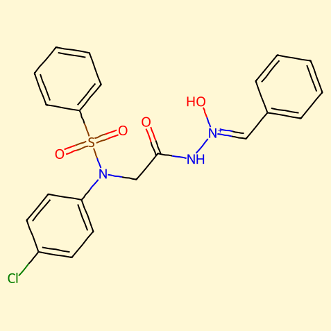 O=C(CN(c1ccc(Cl)cc1)S(=O)(=O)c1ccccc1)N[N+](O)=Cc1ccccc1